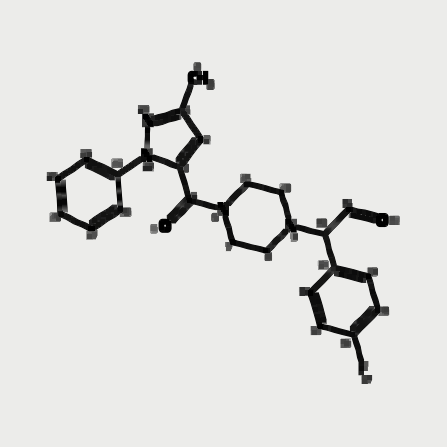 Cc1cc(C(=O)N2CCN(C(C=O)c3ccc(F)cc3)CC2)n(-c2ccccc2)n1